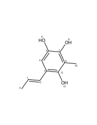 C/C=C/c1cc(O)c(O)c(C)c1O